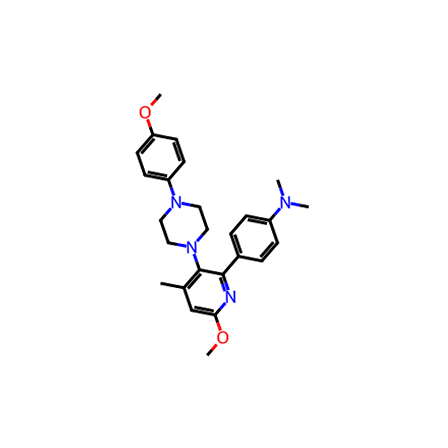 COc1ccc(N2CCN(c3c(C)cc(OC)nc3-c3ccc(N(C)C)cc3)CC2)cc1